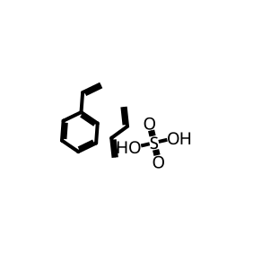 C=CC=C.C=Cc1ccccc1.O=S(=O)(O)O